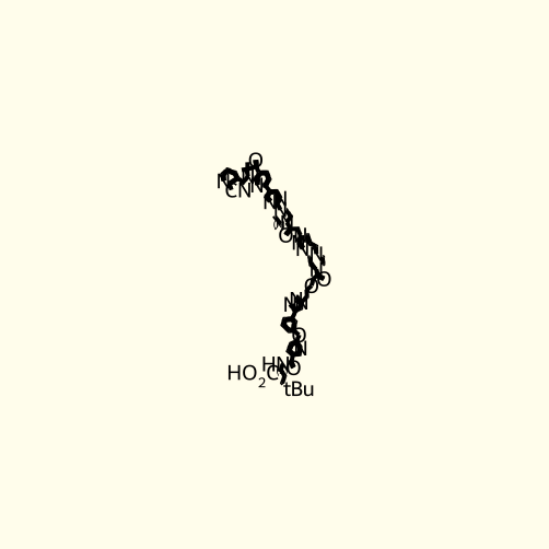 C[C@@H]1CN(c2ncc(-c3ccc4c(n3)N(Cc3cccnc3C#N)C(C)(C)C4=O)cn2)CCN1C(=O)Cn1cc(CN2CCN(C(=O)COCCn3cc(-c4cccc(Oc5ccc(C(=O)N[C@@H](CCC(C)(C)C)C(=O)O)cn5)c4)nn3)CC2)nn1